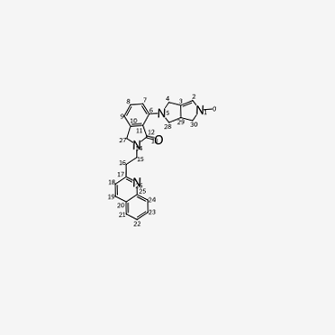 CN1C=C2CN(c3cccc4c3C(=O)N(CCc3ccc5ccccc5n3)C4)CC2C1